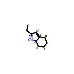 CCC1=NC2CCCCC2=C1